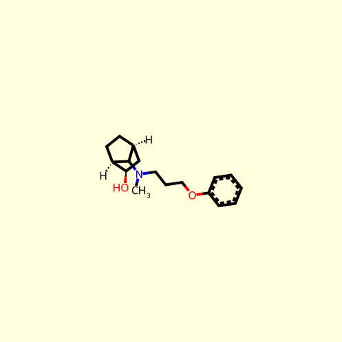 CN(CCCOc1ccccc1)C1[C@H]2CC[C@@H]1[C@H](O)C2